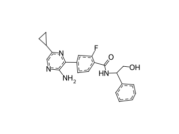 Nc1ncc(C2CC2)nc1-c1ccc(C(=O)NC(CO)c2ccccc2)c(F)c1